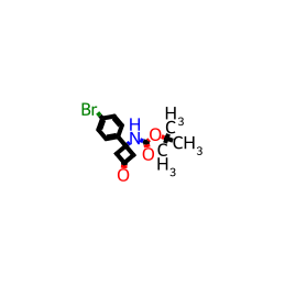 CC(C)(C)OC(=O)NC1(c2ccc(Br)cc2)CC(=O)C1